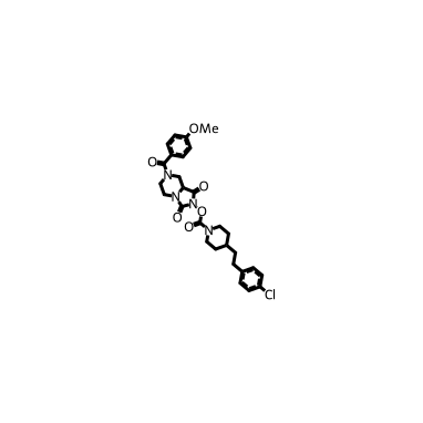 COc1ccc(C(=O)N2CCN3C(=O)N(OC(=O)N4CCC(CCc5ccc(Cl)cc5)CC4)C(=O)C3C2)cc1